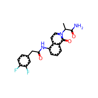 CC(C(N)=O)n1ccc2c(NC(=O)Cc3ccc(F)c(F)c3)cccc2c1=O